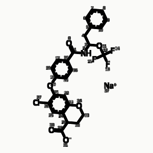 O=C(NC(Cc1ccccc1)OC(F)(F)F)c1ccc(Oc2cc3c(cc2Cl)C(C(=O)[O-])CCO3)cc1.[Na+]